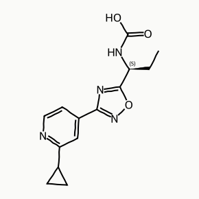 CC[C@H](NC(=O)O)c1nc(-c2ccnc(C3CC3)c2)no1